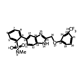 CNS(=O)(=O)c1ccccc1-c1ccc2[nH]c(COc3cccc(C(F)(F)F)c3)nc2c1